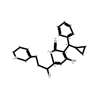 CCC(CCC1=CCCOC1)c1cc(O)c(C(c2ccccc2)C2CC2)c(=O)o1